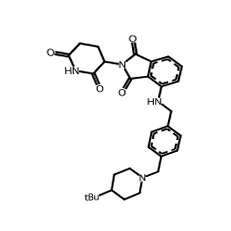 CC(C)(C)C1CCN(Cc2ccc(CNc3cccc4c3C(=O)N(C3CCC(=O)NC3=O)C4=O)cc2)CC1